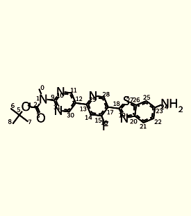 CN(C(=O)OC(C)(C)C)c1ncc(-c2cc(F)c(-c3nc4ccc(N)cc4s3)cn2)cn1